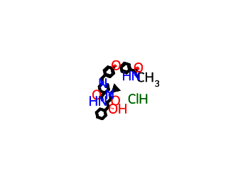 CNC(=O)c1ccc(Oc2ccc(CN3CCC4(CC3)C(=O)N[C@H]([C@H](O)C3CCCCC3)C(=O)N4C3CC3)cc2)cc1.Cl